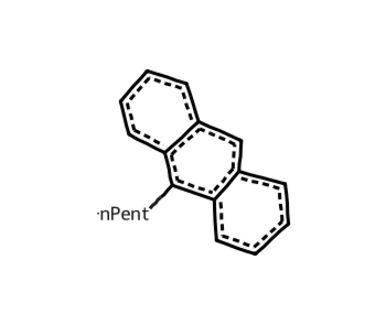 CCCC[CH]c1c2ccccc2cc2ccccc12